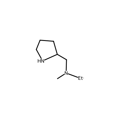 C[CH]N(C)CC1CCCN1